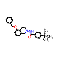 CC(C)(C)c1ccc(C(=O)NN2CCc3c(cccc3OCc3ccccc3)C2)cc1